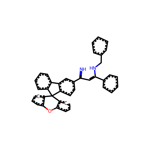 N=C(/C=C(\NCc1ccccc1)c1ccccc1)c1ccc2c(c1)-c1ccccc1C21c2ccccc2Oc2ccccc21